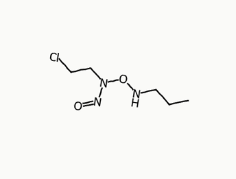 CCCNON(CCCl)N=O